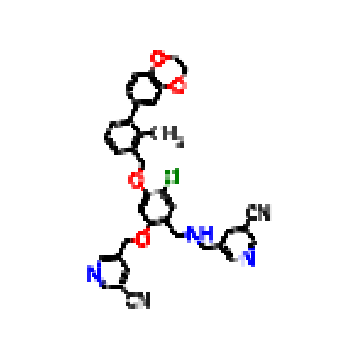 Cc1c(COc2cc(OCc3cncc(C#N)c3)c(CNCc3cncc(C#N)c3)cc2Cl)cccc1-c1ccc2c(c1)OCCO2